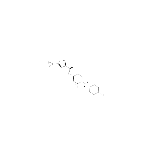 C[C@H]1C[C@@H](NC(=O)c2cc(C3CC3)on2)CCN1S(=O)(=O)[C@H]1CC[C@H](N)CC1